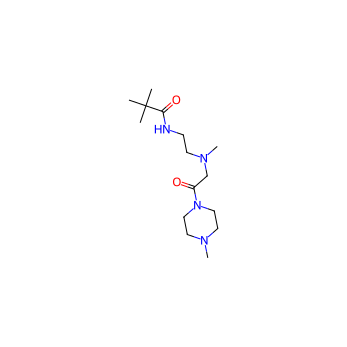 CN1CCN(C(=O)CN(C)CCNC(=O)C(C)(C)C)CC1